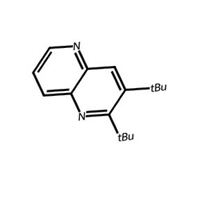 CC(C)(C)c1cc2ncccc2nc1C(C)(C)C